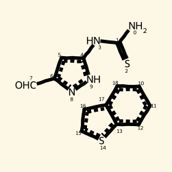 NC(=S)Nc1cc(C=O)n[nH]1.c1ccc2sccc2c1